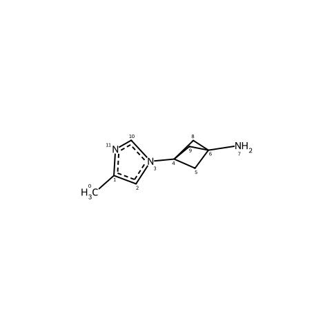 Cc1cn(C23CC(N)(C2)C3)cn1